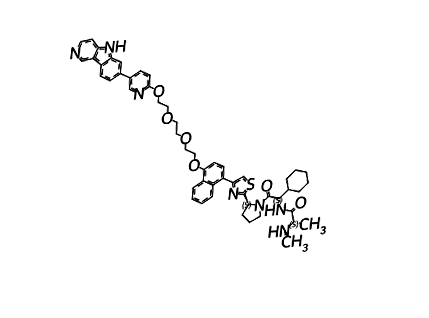 CN[C@@H](C)C(=O)N[C@H](C(=O)N1CCC[C@H]1c1nc(-c2ccc(OCCOCCOCCOc3ccc(-c4ccc5c(c4)[nH]c4ccncc45)cn3)c3ccccc23)cs1)C1CCCCC1